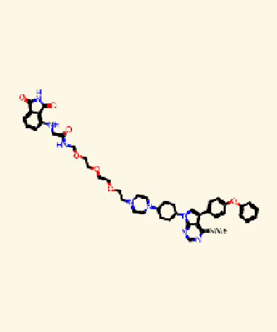 CNc1ncnc2c1c(-c1ccc(Oc3ccccc3)cc1)cn2C1CCC(N2CCN(CCOCCOCCOCNC(=O)CNc3cccc4c3C(=O)NC4=O)CC2)CC1